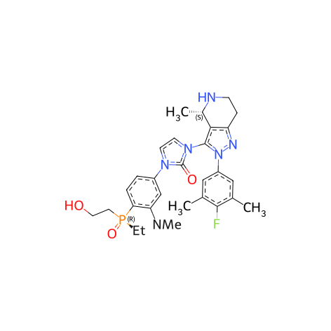 CC[P@@](=O)(CCO)c1ccc(-n2ccn(-c3c4c(nn3-c3cc(C)c(F)c(C)c3)CCN[C@H]4C)c2=O)cc1NC